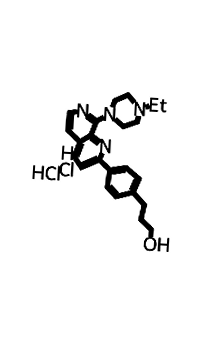 CCN1CCN(c2nccc3ccc(-c4ccc(CCCO)cc4)nc23)CC1.Cl.Cl